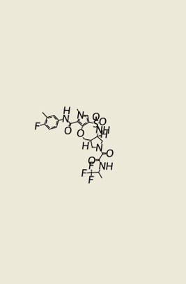 Cc1cc(NC(=O)c2c3c(cn2C)S(=O)(=O)N[C@@H]2CN(C(=O)C(=O)NC(C)C(F)(F)F)C[C@H]2CO3)ccc1F